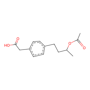 CC(=O)OC(C)CCc1ccc(CC(=O)O)cc1